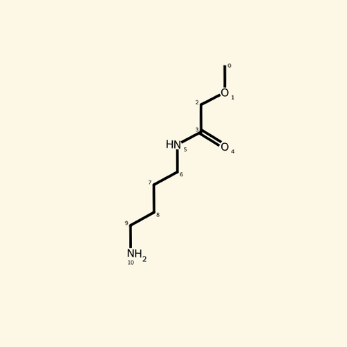 COCC(=O)NCCCCN